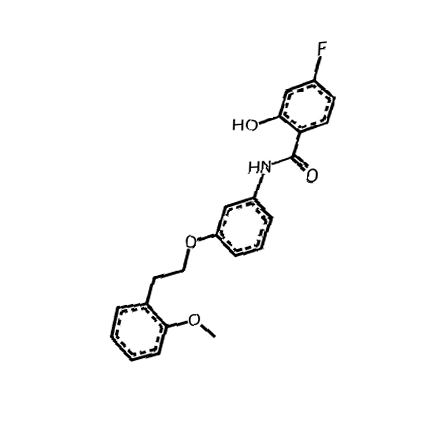 COc1ccccc1CCOc1cccc(NC(=O)c2ccc(F)cc2O)c1